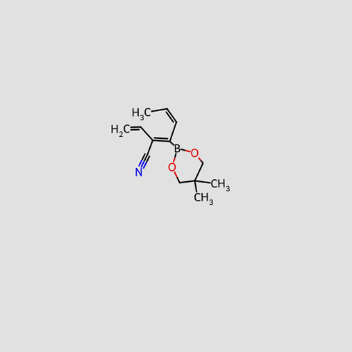 C=C/C(C#N)=C(\C=C/C)B1OCC(C)(C)CO1